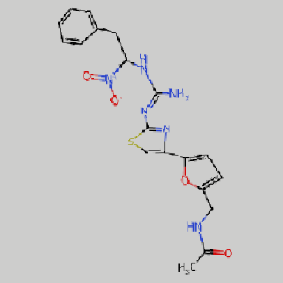 CC(=O)NCc1ccc(-c2csc(N=C(N)NC(Cc3ccccc3)[N+](=O)[O-])n2)o1